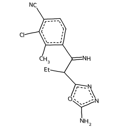 CCC(C(=N)c1ccc(C#N)c(Cl)c1C)c1nnc(N)o1